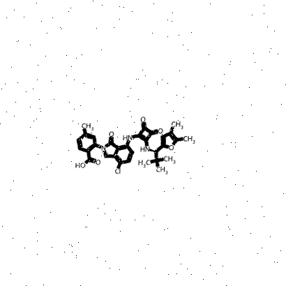 Cc1ccc(C(=O)O)c(N2Cc3c(Cl)ccc(Nc4c(N[C@@H](c5cc(C)c(C)o5)C(C)(C)C)c(=O)c4=O)c3C2=O)c1